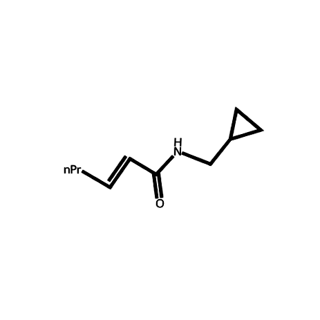 CCC/C=C/C(=O)NCC1CC1